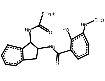 CCCCCCCC(=O)NC1c2ccccc2CC1NC(=O)c1cccc(NC=O)c1O